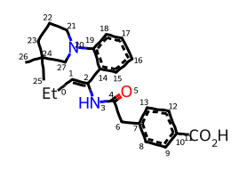 CC/C=C(\NC(=O)Cc1ccc(C(=O)O)cc1)c1ccccc1N1CCCC(C)(C)C1